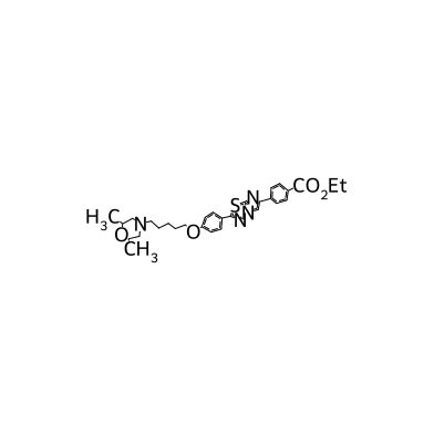 CCOC(=O)c1ccc(-c2cn3nc(-c4ccc(OCCCCCN5CC(C)OC(C)C5)cc4)sc3n2)cc1